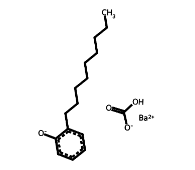 CCCCCCCCCc1ccccc1[O-].O=C([O-])O.[Ba+2]